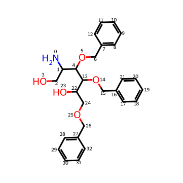 NC(CO)C(OCc1ccccc1)C(OCc1ccccc1)C(O)COCc1ccccc1